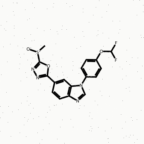 C[S+]([O-])c1nnc(-c2ccc3ncn(-c4ccc(OC(F)F)cc4)c3c2)o1